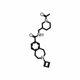 CC(=O)N1CCCC(CNC(=O)c2ccc3c(c2)CCN(C2=CC=C2)CC3)C1